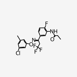 CCC(=O)Nc1cc(/C(CC(F)(F)F)=N/Oc2cc(C)cc(Cl)c2)ccc1F